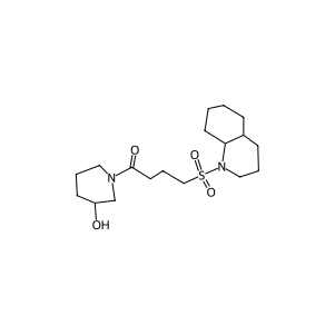 O=C(CCCS(=O)(=O)N1CCCC2CCCCC21)N1CCCC(O)C1